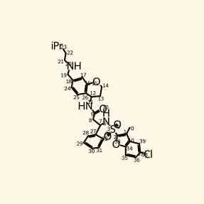 Cc1c(S(=O)(=O)NC(CC(=O)NC2CCOc3cc(CNCCC(C)C)ccc32)c2ccccc2)oc2ccc(Cl)cc12